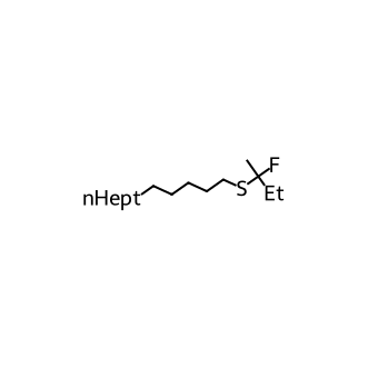 CCCCCCCCCCCCSC(C)(F)CC